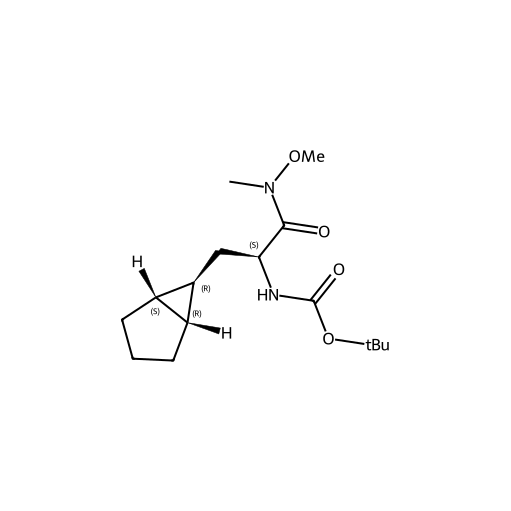 CON(C)C(=O)[C@H](C[C@H]1[C@@H]2CCC[C@@H]21)NC(=O)OC(C)(C)C